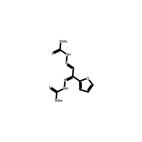 CNC(=S)N/N=C(/C=N/NC(=S)NC)c1ccco1